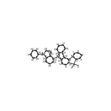 CC1(C)c2ccccc2-c2c1ccc1c2c2ccccc2n1-c1cccc2c1ncn2-c1ccccc1